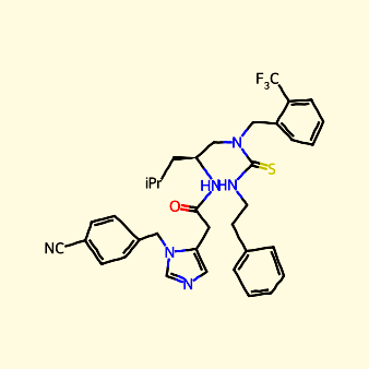 CC(C)C[C@@H](CN(Cc1ccccc1C(F)(F)F)C(=S)NCCc1ccccc1)NC(=O)Cc1cncn1Cc1ccc(C#N)cc1